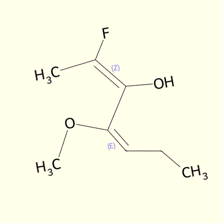 CC/C=C(OC)\C(O)=C(/C)F